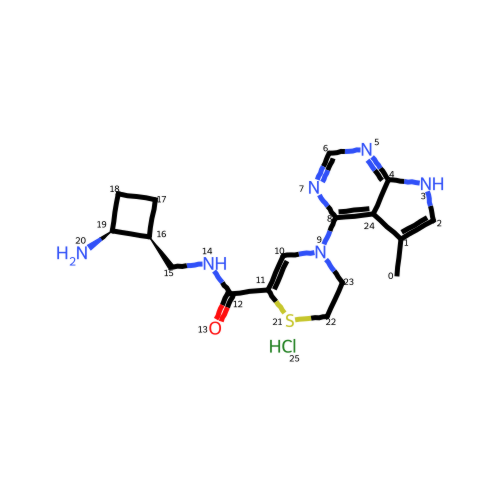 Cc1c[nH]c2ncnc(N3C=C(C(=O)NC[C@@H]4CC[C@@H]4N)SCC3)c12.Cl